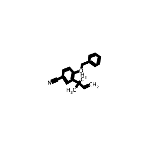 C=CC(C)(C)c1cc(C#N)ccc1OCc1ccccc1